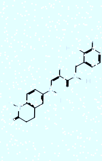 CCOC(=O)/C(=C/N(C)c1ccc2c(c1)CCC(=O)N2C)C(=O)N(C=O)Cc1cccc(C(F)(F)F)c1C